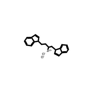 [Cl-].[Cl-].[Zr+2][CH](CCC1C=Cc2ccccc21)CC1C=Cc2ccccc21